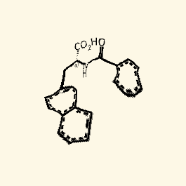 O=C(N[C@H](Cc1ccc2ccccc2c1)C(=O)O)c1ccccc1